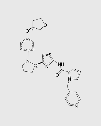 O=C(Nc1nc([C@H]2CCCN2c2ccc(O[C@H]3CCOC3)cc2)cs1)c1cccn1Cc1ccncc1